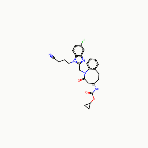 N#CCCCn1c(CN2C(=O)C[C@@H](NC(=O)OC3CC3)CCc3ccccc32)nc2cc(Cl)ccc21